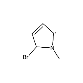 CN1[C]C=CC1Br